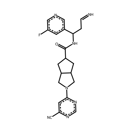 N#Cc1cc(N2CC3CC(C(=O)NC(CC=N)c4cncc(F)c4)CC3C2)ncn1